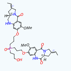 C/C=C1\C[C@H]2CNc3cc(OCCCP(=O)(CCCO)CCCOc4cc5c(cc4OC)C(=O)N4C/C(=C/C)C[C@H]4C(=O)N5)c(OC)cc3C(=O)N2C1